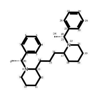 C[C@H](c1ccccc1)N1CCCCC1CCCC1CCCCN1[C@H](C)c1ccccc1